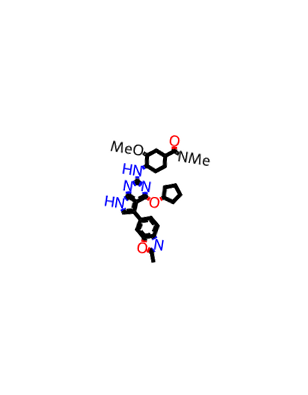 CNC(=O)C1CCC(Nc2nc(OC3CCCC3)c3c(-c4ccc5nc(C)oc5c4)c[nH]c3n2)C(OC)C1